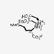 C=CC(=O)O.CCOC(N)=O.CSCC[C@H](N)C(=O)O